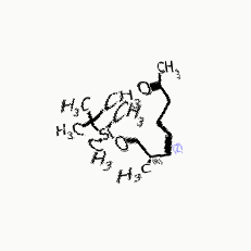 CC(=O)CC/C=C\[C@@H](C)CO[Si](C)(C)C(C)(C)C